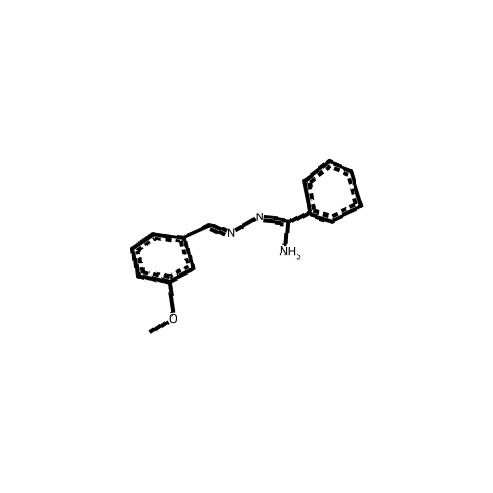 COc1cccc(C=NN=C(N)c2ccccc2)c1